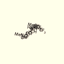 CNC(=O)c1cc(Oc2cccc(-c3c[nH]c(C(=O)Nc4cc(CC(F)(F)F)ccc4OC)c3)c2)ccn1